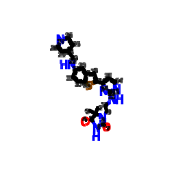 CC1(C)C(=O)NC(=O)N1CCNc1nccc(-c2cc3cc(NCc4ccncc4)ccc3s2)n1